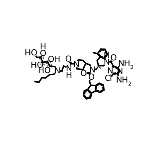 CCCCCCN(CCNC(=O)N1CCC(CN(C[C@H](CNC(=O)c2nc(Cl)c(N)nc2N)Cc2ccccc2C)C(=O)OCC2c3ccccc3-c3ccccc32)CC1)C[C@H](O)[C@@H](O)[C@H](O)[C@H](O)CO